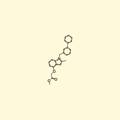 COC(=O)COc1cccc2c1cc(C)n2Cc1cccc(-c2ccccc2)c1